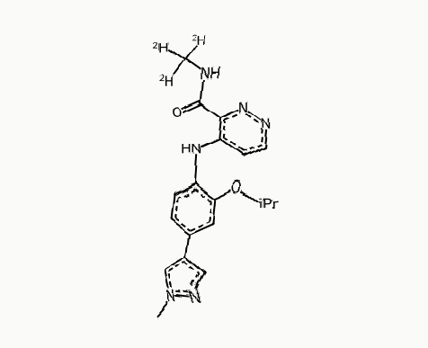 [2H]C([2H])([2H])NC(=O)c1nnccc1Nc1ccc(-c2cnn(C)c2)cc1OC(C)C